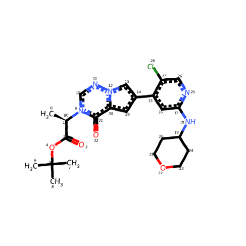 C[C@H](C(=O)OC(C)(C)C)n1cnn2cc(-c3cc(NC4CCOCC4)ncc3Cl)cc2c1=O